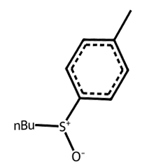 CCCC[S+]([O-])c1ccc(C)cc1